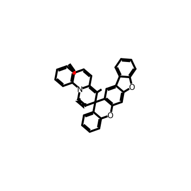 C=C/C=C\C1=C(C)C2(c3ccccc3Oc3cc4oc5ccccc5c4cc32)c2ccccc2N1c1ccccc1